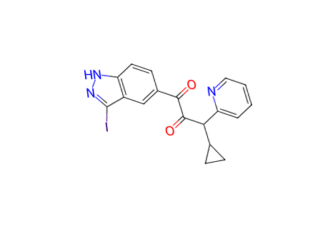 O=C(C(=O)C(c1ccccn1)C1CC1)c1ccc2[nH]nc(I)c2c1